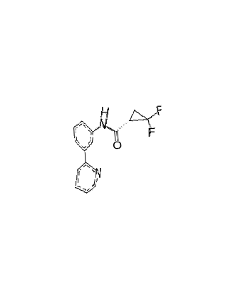 O=C(Nc1cccc(-c2ccccn2)c1)[C@@H]1CC1(F)F